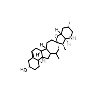 CC1C[C@]2(CC[C@@H]3C1C[C@H]1[C@H]3CC=C3C[C@@H](O)CC[C@@]31C)O[C@@H]1C[C@H](C)CN[C@H]1[C@H]2C